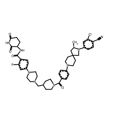 C[C@@H]1CC2(CCN(c3ccc(C(=O)N4CCC(CN5CCN(c6ccc(C(=O)NC7CCC(=O)NC7=O)c(F)c6)CC5)CC4)cc3)CC2)CN1c1ccc(C#N)c(Cl)c1